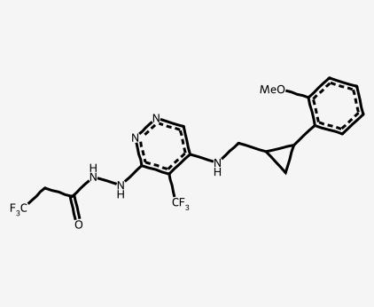 COc1ccccc1C1CC1CNc1cnnc(NNC(=O)CC(F)(F)F)c1C(F)(F)F